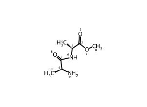 COC(=O)[C@H](C)NC(=O)[C@H](C)N